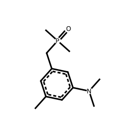 Cc1cc(CP(C)(C)=O)cc(N(C)C)c1